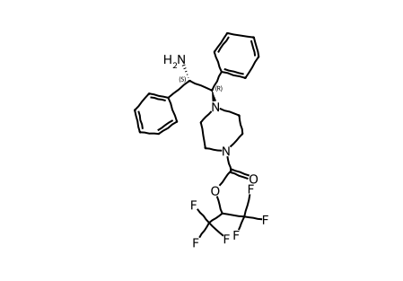 N[C@@H](c1ccccc1)[C@@H](c1ccccc1)N1CCN(C(=O)OC(C(F)(F)F)C(F)(F)F)CC1